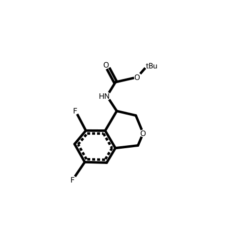 CC(C)(C)OC(=O)NC1COCc2cc(F)cc(F)c21